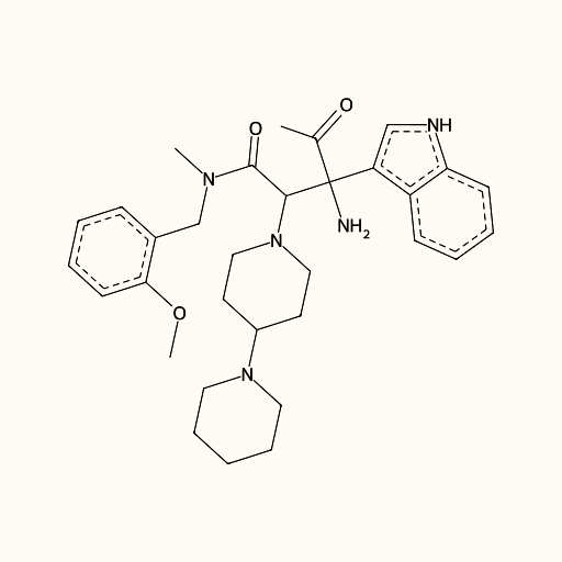 COc1ccccc1CN(C)C(=O)C(N1CCC(N2CCCCC2)CC1)C(N)(C(C)=O)c1c[nH]c2ccccc12